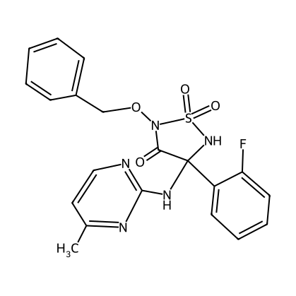 Cc1ccnc(NC2(c3ccccc3F)NS(=O)(=O)N(OCc3ccccc3)C2=O)n1